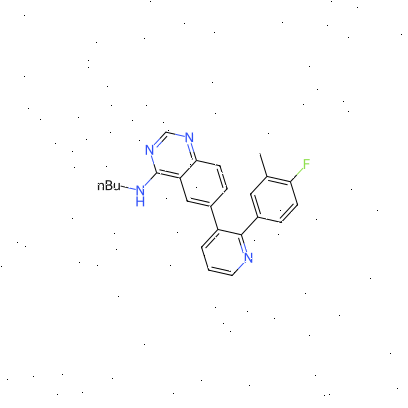 CCCCNc1ncnc2ccc(-c3cccnc3-c3ccc(F)c(C)c3)cc12